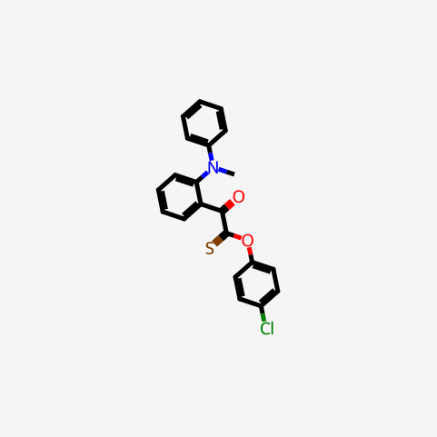 CN(c1ccccc1)c1ccccc1C(=O)C(=S)Oc1ccc(Cl)cc1